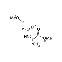 COCCC(=O)NC(C)C(=O)OC